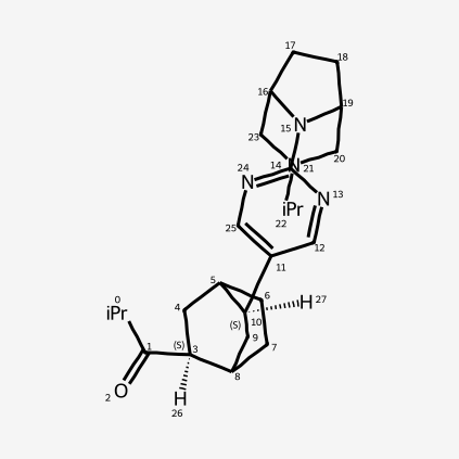 CC(C)C(=O)[C@H]1CC2CCC1C[C@@H]2c1cnc(N2C3CCC2CN(C(C)C)C3)nc1